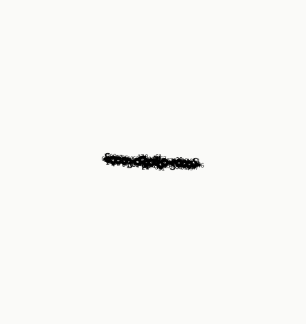 Cc1cc2cc3cc4cc5sc(-c6ccc7c(ccc8c9cc%10c(cc9n(C)c78)c7ccc8cc(-c9cc%11cc%12cc%13cc%14sc(C)cc%14cc%13cc%12cc%11s9)ccc8c7n%10C)c6)cc5cc4cc3cc2s1